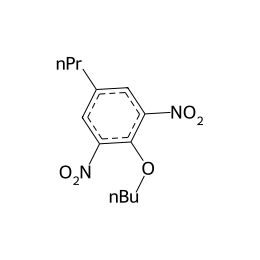 CCCCOc1c([N+](=O)[O-])cc(CCC)cc1[N+](=O)[O-]